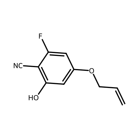 C=CCOc1cc(O)c(C#N)c(F)c1